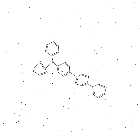 c1ccc(-c2ccc(-c3ccc(N(c4ccccc4)c4ccccc4)cc3)cc2)cc1